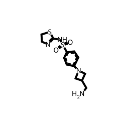 NCC1CN(c2ccc(S(=O)(=O)NC3=NCCS3)cc2)C1